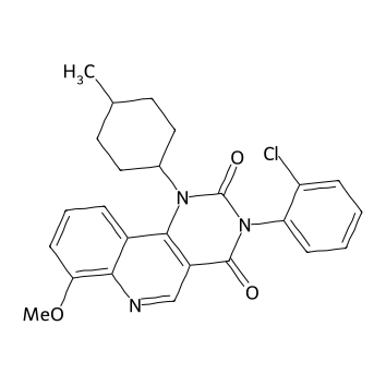 COc1cccc2c1ncc1c(=O)n(-c3ccccc3Cl)c(=O)n(C3CCC(C)CC3)c12